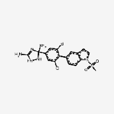 CS(=O)(=O)n1ccc2cc(-c3c(Cl)cc(C4(N)N=C(N)NN4)cc3Cl)ccc21